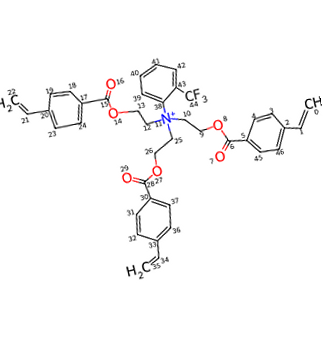 C=Cc1ccc(C(=O)OCC[N+](CCOC(=O)c2ccc(C=C)cc2)(CCOC(=O)c2ccc(C=C)cc2)c2ccccc2C(F)(F)F)cc1